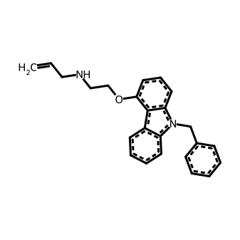 C=CCNCCOc1cccc2c1c1ccccc1n2Cc1ccccc1